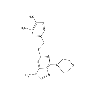 Cc1ccc(CSc2nc(N3C=COCC3)c3ncn(C)c3n2)cc1N